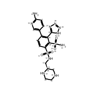 Nc1ccc(-c2ccc(S(=O)(=O)NC[C@H]3CNCCN3)c(S(N)(=O)=O)c2-c2nnn[nH]2)cn1